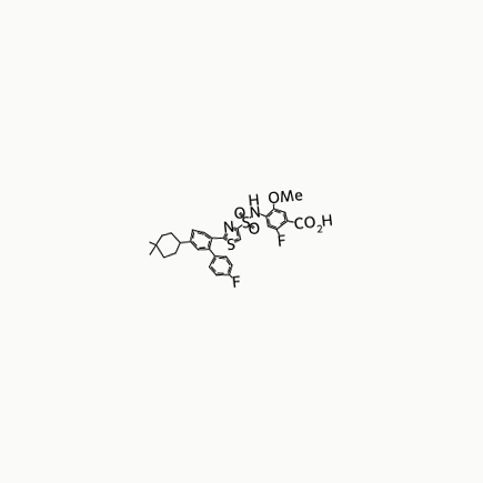 COc1cc(C(=O)O)c(F)cc1NS(=O)(=O)c1csc(-c2ccc(C3CCC(C)(C)CC3)cc2-c2ccc(F)cc2)n1